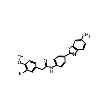 COc1ccc(CC(=O)Nc2ccc(-c3nc4ccc(C)cc4[nH]3)cc2)cc1Br